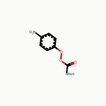 CCCCCC(=O)OOc1ccc([N+](=O)[O-])cc1